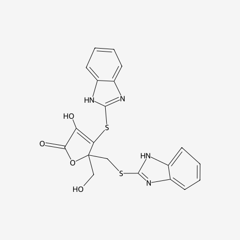 O=C1OC(CO)(CSc2nc3ccccc3[nH]2)C(Sc2nc3ccccc3[nH]2)=C1O